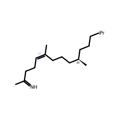 CC(=N)CC/C=C(/C)CCC[C@H](C)CCCC(C)C